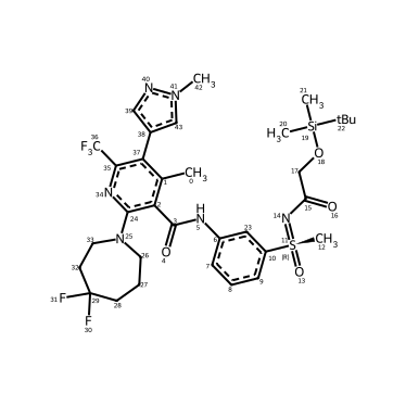 Cc1c(C(=O)Nc2cccc([S@@](C)(=O)=NC(=O)CO[Si](C)(C)C(C)(C)C)c2)c(N2CCCC(F)(F)CC2)nc(C(F)(F)F)c1-c1cnn(C)c1